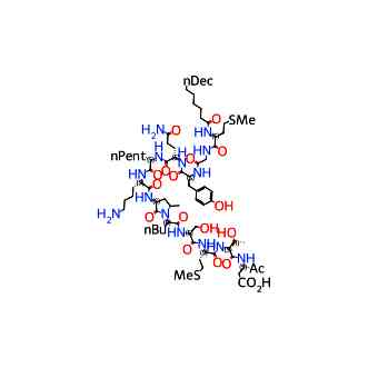 CCCCCCCCCCCCCCCC(=O)N[C@@H](CCSC)C(=O)NCC(=O)N[C@@H](Cc1ccc(O)cc1)C(=O)N[C@@H](CCC(N)=O)C(=O)N[C@@H](CCCCC)C(=O)N[C@@H](CCCCN)C(=O)N[C@H]1CC(C)N([C@H](CCCC)C(=O)N[C@@H](CO)C(=O)N[C@@H](CCSC)C(=O)N[C@H](C(=O)N[C@@H](CC(=O)O)C(C)=O)[C@@H](C)O)C1=O